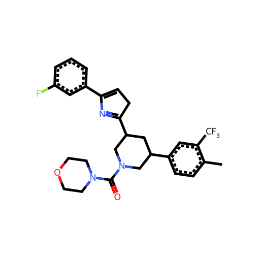 Cc1ccc(C2CC(C3=NC(c4cccc(F)c4)=CC3)CN(C(=O)N3CCOCC3)C2)cc1C(F)(F)F